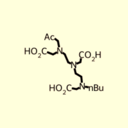 CCCCN(CCN(CCN(CC(C)=O)CC(=O)O)CC(=O)O)CC(=O)O